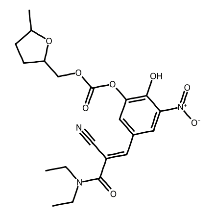 CCN(CC)C(=O)/C(C#N)=C/c1cc(OC(=O)OCC2CCC(C)O2)c(O)c([N+](=O)[O-])c1